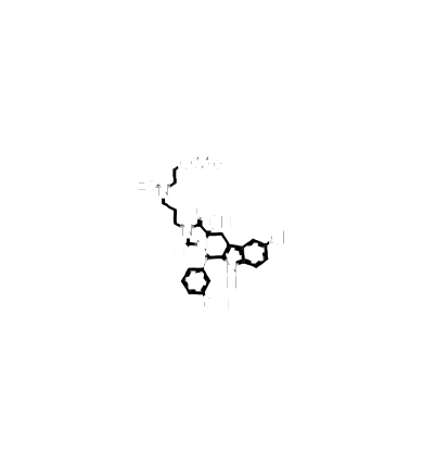 CCN(CCCN1C(=O)N2[C@H](c3cccc(O)c3)c3[nH]c4ccc(Cl)cc4c3C[C@@]2(C)C1=O)CCOC